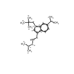 CC(C)c1ccc2c(CNSN(C)C)cn(CC(C)(C)C)c2c1